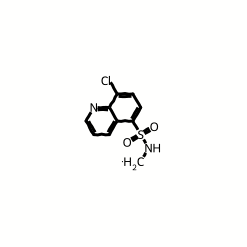 [CH2]NS(=O)(=O)c1ccc(Cl)c2ncccc12